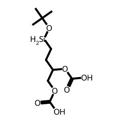 CC(C)(C)O[SiH2]CCC(COC(=O)O)OC(=O)O